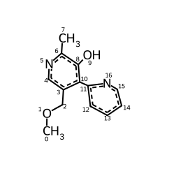 COCc1cnc(C)c(O)c1-c1ccccn1